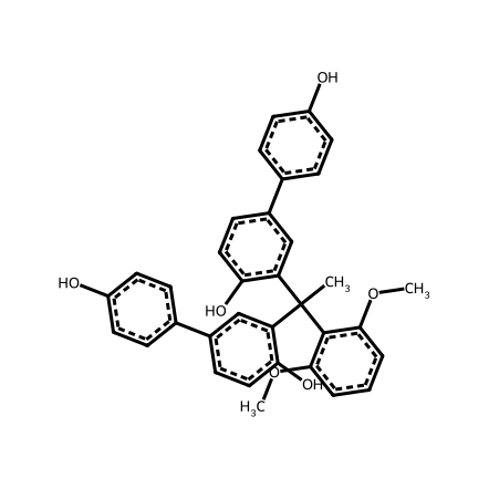 COc1cccc(OC)c1C(C)(c1cc(-c2ccc(O)cc2)ccc1O)c1cc(-c2ccc(O)cc2)ccc1O